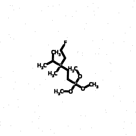 CO[Si](CC[Si](C)(CCF)C(C)C)(OC)OC